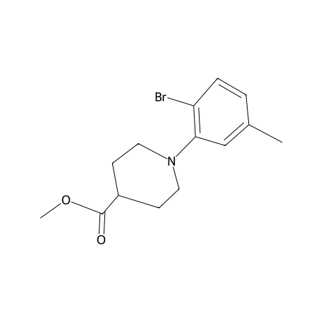 COC(=O)C1CCN(c2cc(C)ccc2Br)CC1